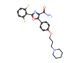 NC(=O)c1nc(-c2c(F)cccc2F)oc1-c1ccc(OCCCN2CCCCC2)cc1